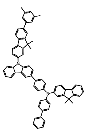 Cc1cc(C)cc(-c2ccc3c(c2)C(C)(C)c2cc(-n4c5ccccc5c5cc(-c6ccc(N(c7ccc(-c8ccccc8)cc7)c7ccc8c(c7)C(C)(C)c7ccccc7-8)cc6)ccc54)ccc2-3)c1